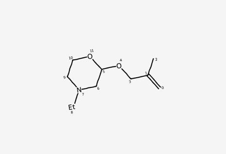 C=C(C)COC1CN(CC)CCO1